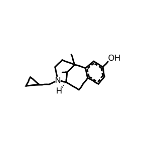 CC1[C@H]2Cc3ccc(O)cc3C1(C)CCN2CC1CC1